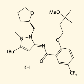 COC(C)(C)CCOc1ccc(C(F)(F)F)cc1C(=O)/N=c1\cc(C(C)(C)C)n(C)n1C[C@H]1CCCO1.[KH]